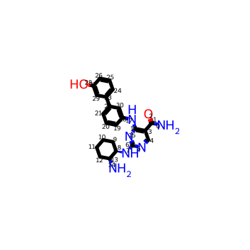 NC(=O)c1cnc(N[C@@H]2CCCCC2N)nc1Nc1cccc(-c2cccc(O)c2)c1